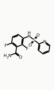 NC(=O)c1c(F)ccc(NS(=O)(=O)c2ccccn2)c1F